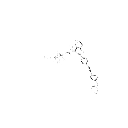 CC(C)(C)OC(=O)NCC(=O)Nc1cc(-c2ccc(C#Cc3ccc(CN4CCOCC4)cc3)cc2)nc2ccncc12